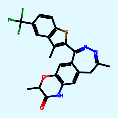 CC1=NN=C(c2sc3ccc(C(F)(F)F)cc3c2C)c2cc3c(cc2C1)NC(=O)C(C)O3